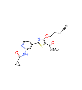 C#CCCCOc1nc(-c2ccnc(NC(=O)C3CC3)c2)sc1C(=O)NC